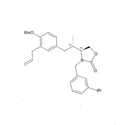 C=CCc1cc(C[C@H](C)[C@H]2COC(=O)N2Cc2cccc(C(C)C)c2)ccc1OC